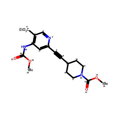 CCOC(=O)c1cnc(C#CC2CCN(C(=O)OC(C)(C)C)CC2)cc1NC(=O)OC(C)(C)C